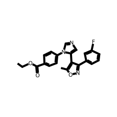 CCOC(=O)c1ccc(-n2cncc2-c2c(-c3cccc(F)c3)noc2C)cc1